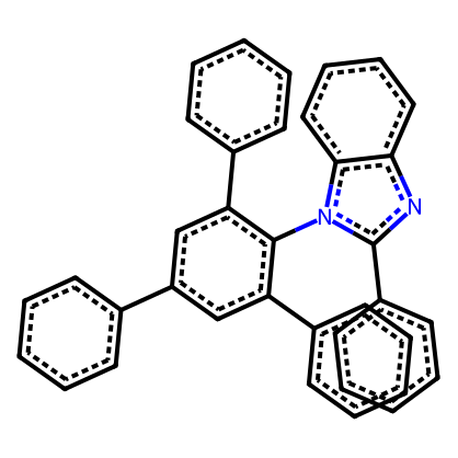 c1ccc(-c2cc(-c3ccccc3)c(-n3c(-c4ccccc4)nc4ccccc43)c(-c3ccccc3)c2)cc1